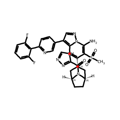 CS(=O)(=O)c1c([C@@H]2C[C@H]3CC[C@@H](C2)N3C(=O)c2nnc[nH]2)nc2c(-c3ccc(-c4c(F)cccc4F)nc3)cnn2c1N